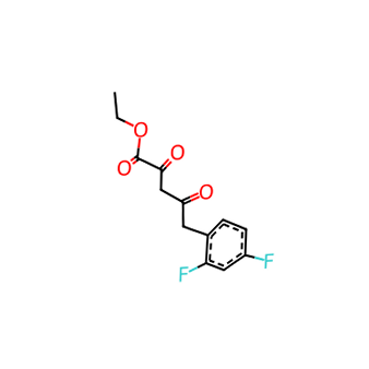 CCOC(=O)C(=O)CC(=O)Cc1ccc(F)cc1F